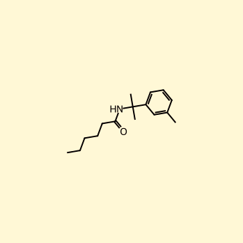 CCCCCC(=O)NC(C)(C)c1cccc(C)c1